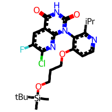 CC(C)c1nccc(OCCCO[Si](C)(C)C(C)(C)C)c1-n1c(=O)[nH]c(=O)c2cc(F)c(Cl)nc21